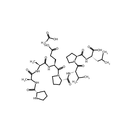 CC(=O)O.CC(C)C[C@H](NC(=O)[C@@H]1CCCN1C(=O)[C@@H](NC(=O)[C@@H]1CCCN1C(=O)[C@H](CCC(=O)O)NC(=O)[C@H](C)NC(=O)[C@H](C)NC(=O)[C@@H]1CCCN1)C(C)C)C(=O)O